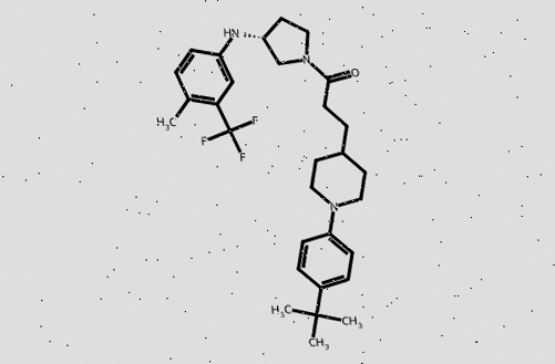 Cc1ccc(N[C@@H]2CCN(C(=O)CCC3CCN(c4ccc(C(C)(C)C)cc4)CC3)C2)cc1C(F)(F)F